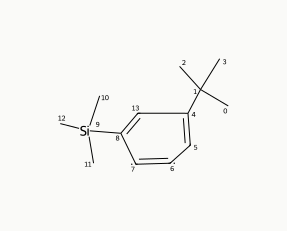 CC(C)(C)c1c[c][c]c([Si](C)(C)C)c1